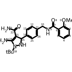 COc1ccccc1C(=O)NCc1ccc(C2NN(C(C)(C)C)C(N)=C2C(N)=O)cc1